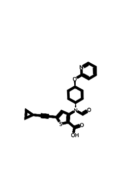 O=CN(c1cc(C#CC2CC2)sc1C(=O)O)[C@H]1CC[C@H](Oc2ccccn2)CC1